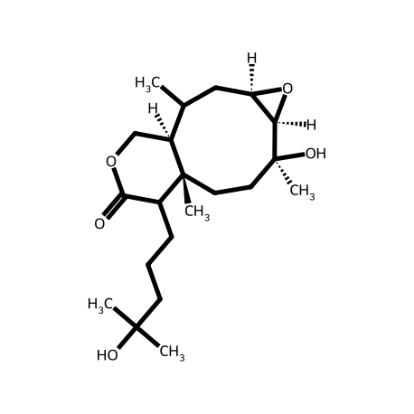 CC1C[C@H]2O[C@H]2[C@@](C)(O)CC[C@]2(C)C(CCCC(C)(C)O)C(=O)OC[C@@H]12